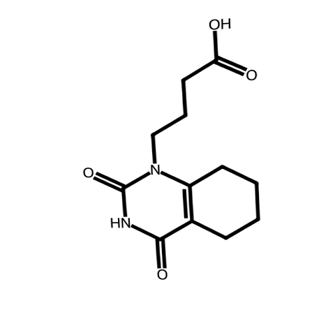 O=C(O)CCCn1c2c(c(=O)[nH]c1=O)CCCC2